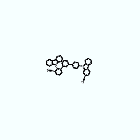 N#Cc1ccc2c3ccccc3n(-c3ccc(-c4cccc(-c5cccc(C#N)c5-n5c6ccccc6c6ccccc65)c4)cc3)c2c1